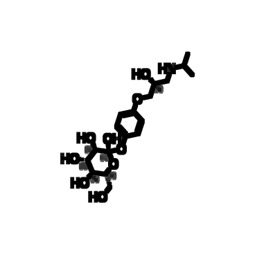 CC(C)NC[C@H](O)COc1ccc(O[C@]2(O)O[C@H](CO)[C@@H](O)[C@H](O)[C@H]2O)cc1